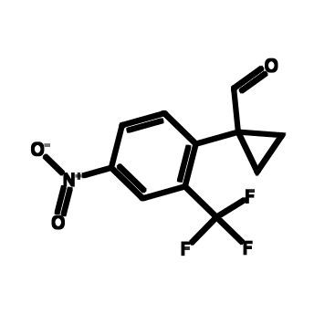 O=CC1(c2ccc([N+](=O)[O-])cc2C(F)(F)F)CC1